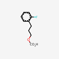 O=C(O)OCCCc1ccccc1F